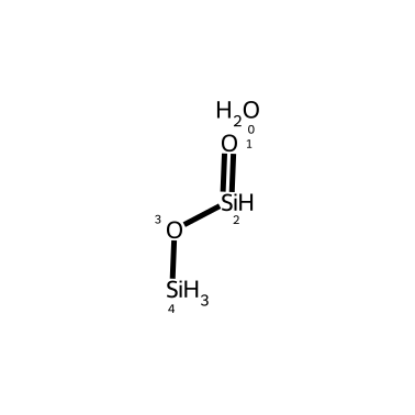 O.O=[SiH]O[SiH3]